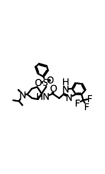 CC(C)N(C)C1CCC(CS(=O)(=O)c2ccccc2)(NC(=O)Cc2nc3c(C(F)(F)F)cccc3[nH]2)CC1